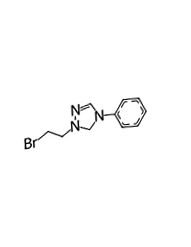 BrCCN1CN(c2ccccc2)C=N1